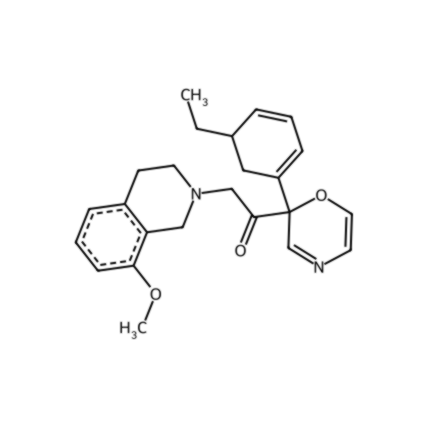 CCC1C=CC=C(C2(C(=O)CN3CCc4cccc(OC)c4C3)C=NC=CO2)C1